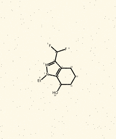 CCn1nc(C(F)F)c2c1C(O)CCC2